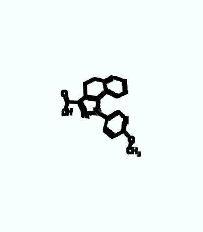 COc1ccc(-n2nc(C(=O)O)c3c2-c2ccccc2CC3)cn1